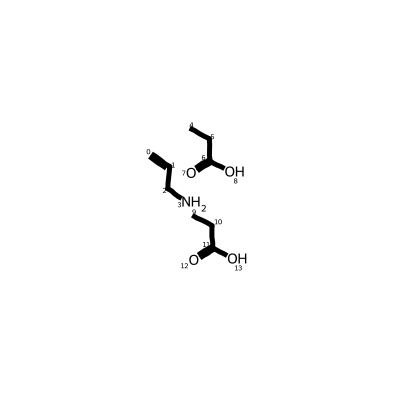 C=CCN.CCC(=O)O.CCC(=O)O